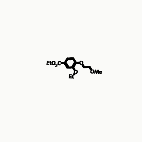 CCOC(=O)c1ccc(OCCOC)c(OCC)c1